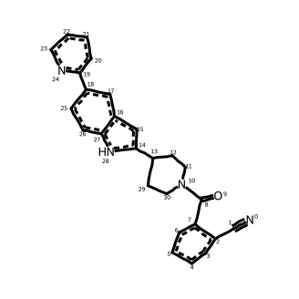 N#Cc1ccccc1C(=O)N1CCC(c2cc3cc(-c4ccccn4)ccc3[nH]2)CC1